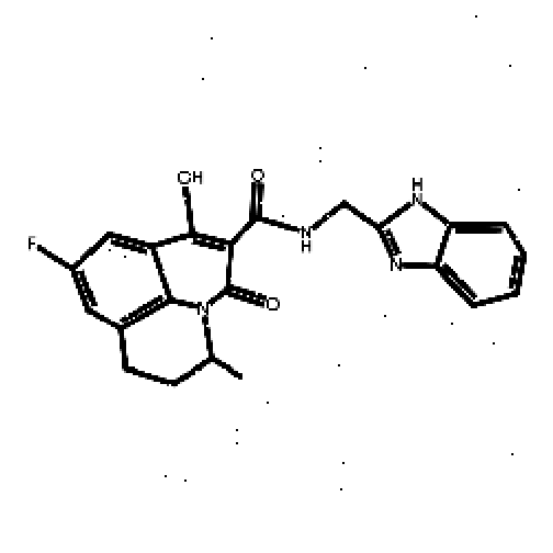 CC1CCc2cc(F)cc3c(O)c(C(=O)NCc4nc5ccccc5[nH]4)c(=O)n1c23